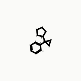 c1ccc(C2([C]3CCCC3)CC2)cc1